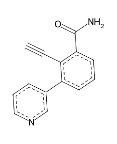 C#Cc1c(C(N)=O)cccc1-c1cccnc1